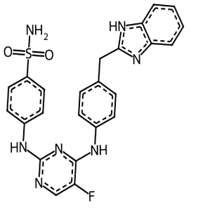 NS(=O)(=O)c1ccc(Nc2ncc(F)c(Nc3ccc(Cc4nc5ccccc5[nH]4)cc3)n2)cc1